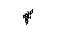 O=C(N[C@H]1CC[C@@H](F)CC1)c1c(O)c2cccnc2n(CCN2CCC(F)CC2)c1=O